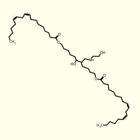 CCCCC/C=C\C/C=C\CCCCCCCC(=O)OCCCCCC(O)C(CCCCOC(=O)CCCCCCC/C=C\C/C=C\CCCCC)CNCCO